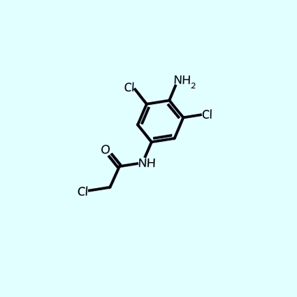 Nc1c(Cl)cc(NC(=O)CCl)cc1Cl